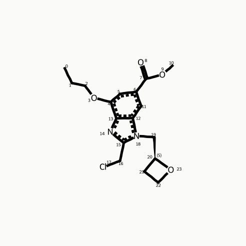 CCCOc1cc(C(=O)OC)cc2c1nc(CCl)n2C[C@@H]1CCO1